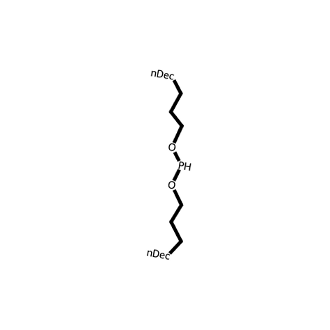 CCCCCCCCCCCCCOPOCCCCCCCCCCCCC